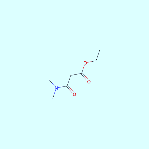 CCOC(=O)CC(=O)N(C)C